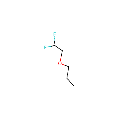 CCCOCC(F)F